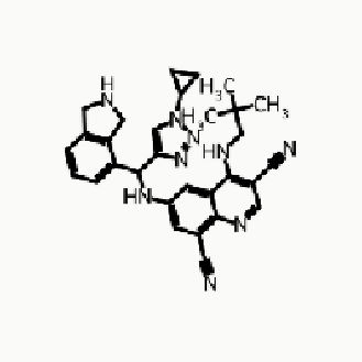 CC(C)(C)CNc1c(C#N)cnc2c(C#N)cc(NC(c3cn(C4CC4)nn3)c3cccc4c3CNC4)cc12